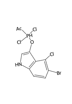 CC(=O)[PH](Cl)(Cl)Oc1c[nH]c2ccc(Br)c(Cl)c12